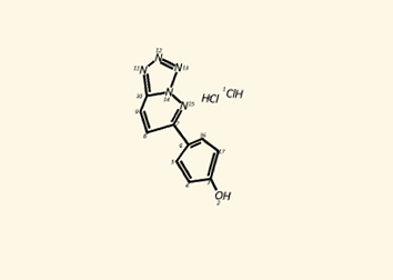 Cl.Cl.Oc1ccc(-c2ccc3nnnn3n2)cc1